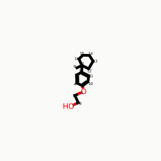 CC1(c2ccc(OCCO)cc2)CCCCC1